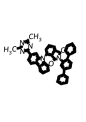 Cc1nc(C)nc(-c2ccc3c4ccccc4n(-c4cccc5c4C(=O)N(c4cc(-c6ccccc6)ccc4-c4ccccc4)C5=O)c3c2)n1